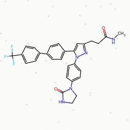 CNC(=O)CCc1cc(-c2ccc(-c3ccc(C(F)(F)F)cc3)cc2)n(-c2ccc(N3CCNC3=O)cc2)n1